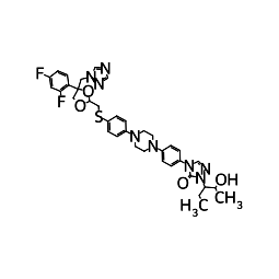 CCC(C(C)O)n1ncn(-c2ccc(N3CCN(c4ccc(SCC5OCC(Cn6cncn6)(c6ccc(F)cc6F)O5)cc4)CC3)cc2)c1=O